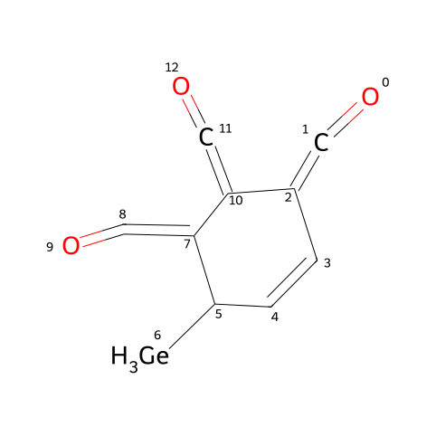 O=C=C1C=C[CH]([GeH3])C(=C=O)C1=C=O